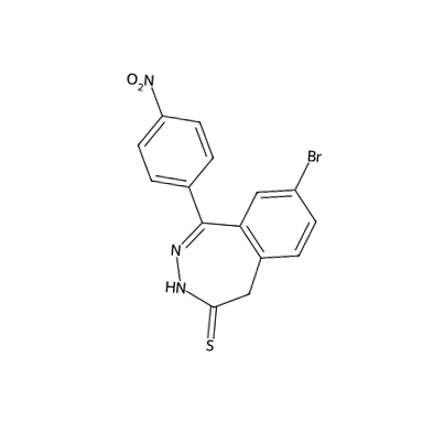 O=[N+]([O-])c1ccc(C2=NNC(=S)Cc3ccc(Br)cc32)cc1